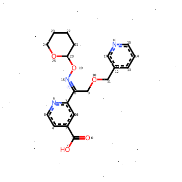 O=C(O)c1ccnc(/C(COCc2cccnc2)=N/OC2CCCCO2)c1